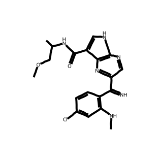 CNc1cc(Cl)ccc1C(=N)c1cnc2[nH]cc(C(=O)NC(C)COC)c2n1